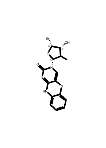 CC[C@H]1O[C@@H](n2cc3c(nc2=O)Nc2ccccc2O3)C(F)[C@H]1O